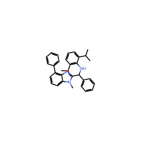 CC(C)c1cccc(C(C)C)c1NC(c1ccccc1)c1nc2c(-c3ccccc3)cccc2n1C